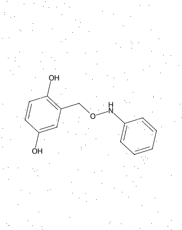 Oc1ccc(O)c(CONc2ccccc2)c1